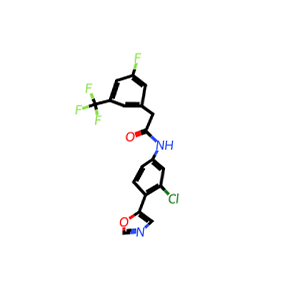 O=C(Cc1cc(F)cc(C(F)(F)F)c1)Nc1ccc(-c2cnco2)c(Cl)c1